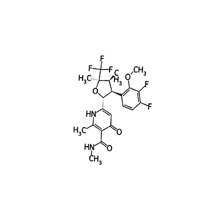 CNC(=O)c1c(C)[nH]c([C@@H]2O[C@@](C)(C(F)(F)F)[C@@H](C)[C@H]2c2ccc(F)c(F)c2OC)cc1=O